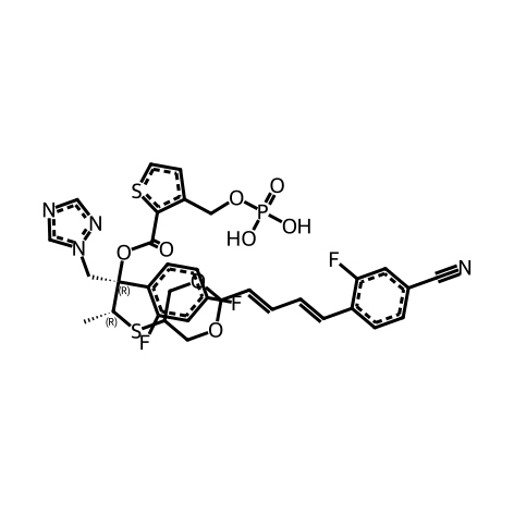 C[C@@H](SC1COC(C=CC=Cc2ccc(C#N)cc2F)OC1)[C@@](Cn1cncn1)(OC(=O)c1sccc1COP(=O)(O)O)c1ccc(F)cc1F